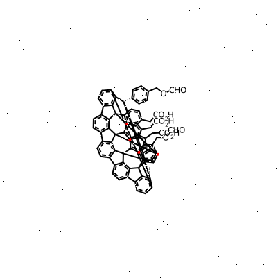 O=COCc1ccc([C@]23C4=C5C6=C7[C@H]4[C@]4(c8ccc(COC=O)cc8)c8c9ccc(c82)-c2ccc8c(c23)[C@@]5(c2ccc(CC(=O)O)cc2)c2c-8ccc3c2[C@@]6(c2ccc(CC(=O)O)cc2)c2c-3ccc3c2[C@@]7(c2ccc(CC(=O)O)cc2)c2c-3ccc-9c24)cc1